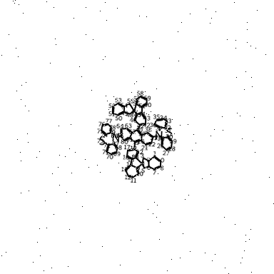 C1=CC2CC3(CC2C=C1)c1ccccc1-c1ccc(-c2c4ccc(N5c6ccccc6Sc6ccccc65)cc4c(-c4ccc5c(c4)C4(Cc6ccccc6C4)c4ccccc4-5)c4ccc(N5c6ccccc6Sc6ccccc65)cc24)cc13